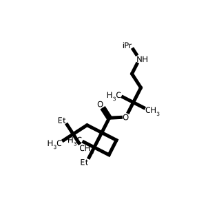 CCC(C)(C)CC1(C(=O)OC(C)(C)CCNC(C)C)CCC1(C)CC